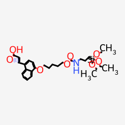 CCO[Si](CCCNC(=O)OCCCCCOc1ccc(/C=C/C(=O)O)c2ccccc12)(OCC)OCC